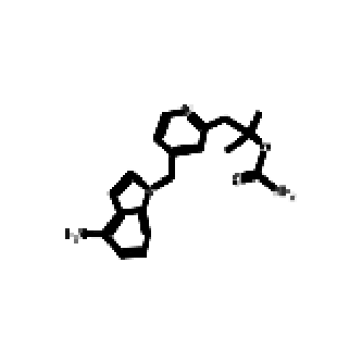 CC(C)(Cc1cc(Cn2ccc3c(N)cccc32)ccn1)OC(N)=O